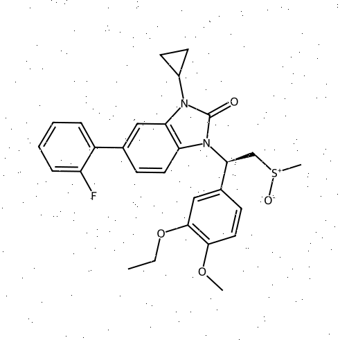 CCOc1cc([C@H](C[S+](C)[O-])n2c(=O)n(C3CC3)c3cc(-c4ccccc4F)ccc32)ccc1OC